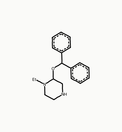 CCN1CCNCC1OC(c1ccccc1)c1ccccc1